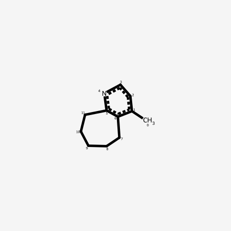 Cc1ccnc2c1CCCCC2